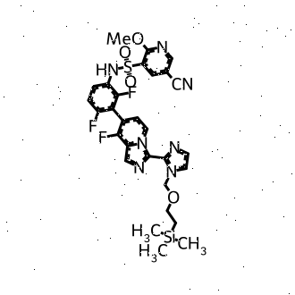 COc1ncc(C#N)cc1S(=O)(=O)Nc1ccc(F)c(-c2ccn3c(-c4nccn4COCC[Si](C)(C)C)ncc3c2F)c1F